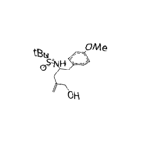 C=C(CO)CC(Cc1ccc(OC)cc1)N[S@@+]([O-])C(C)(C)C